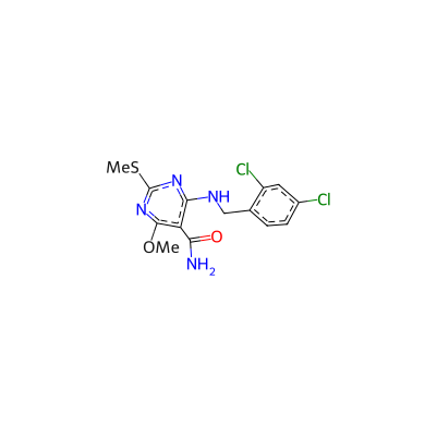 COc1nc(SC)nc(NCc2ccc(Cl)cc2Cl)c1C(N)=O